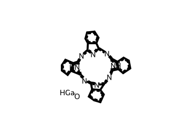 [O]=[GaH].c1ccc2c(c1)-c1nc-2nc2[nH]c(nc3nc(nc4[nH]c(n1)c1ccccc41)-c1ccccc1-3)c1ccccc21